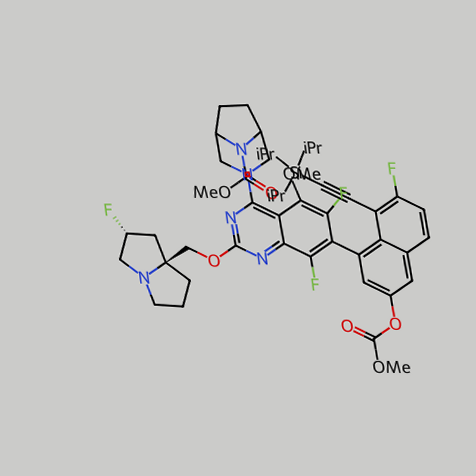 COC(=O)Oc1cc(-c2c(F)c(OC)c3c(N4CC5CCC(C4)N5C(=O)OC)nc(OC[C@@]45CCCN4C[C@H](F)C5)nc3c2F)c2c(C#C[Si](C(C)C)(C(C)C)C(C)C)c(F)ccc2c1